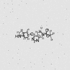 Cc1c(Oc2ncnc3c2C[C@H](C)N(C(=O)OC(C)(C)C)C3)ccc2c1CCN2